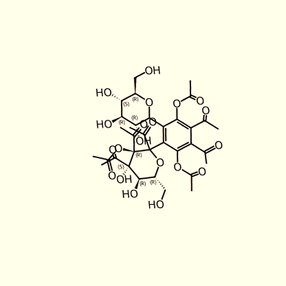 CC(=O)Oc1c(C(C)=O)c(C(C)=O)c(OC(C)=O)c(C2(C(C)=O)O[C@H](CO)[C@@H](O)[C@@](O)(C(C)=O)[C@]2(OC(C)=O)C(C)=O)c1C1O[C@H](CO)[C@@H](O)[C@H](O)[C@H]1O